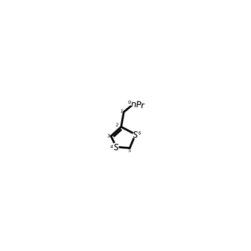 CCCCC1=CSCS1